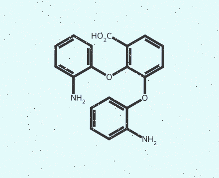 Nc1ccccc1Oc1cccc(C(=O)O)c1Oc1ccccc1N